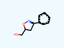 OCC1CC(c2ccccc2)=NO1